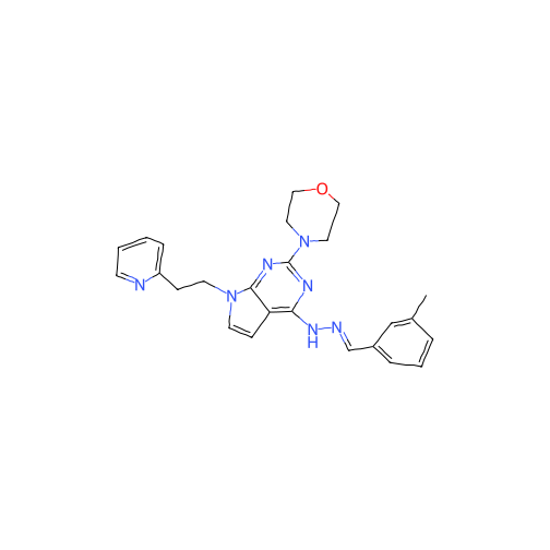 Cc1cccc(C=NNc2nc(N3CCOCC3)nc3c2ccn3CCc2ccccn2)c1